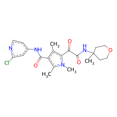 Cc1c(C(=O)Nc2ccnc(Cl)c2)c(C)n(C)c1C(=O)C(=O)NC1(C)CCOCC1